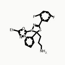 CCc1nnc(N2N=C(c3cc(F)ccc3F)SC2(CCCN)c2ccccc2)o1